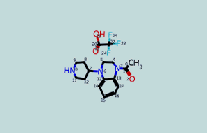 CC(=O)N1CCN(C2CCNCC2)c2ccccc21.O=C(O)C(F)(F)F